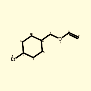 C=COCC1CCC(CC)CC1